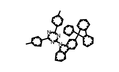 Cc1ccc(-c2nc(-c3ccc(C)cc3)nc(-n3c4ccccc4c4ccc(C5(c6ccccc6)c6ccccc6-c6ccccc65)cc43)n2)cc1